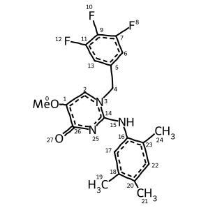 COc1cn(Cc2cc(F)c(F)c(F)c2)c(Nc2cc(C)c(C)cc2C)nc1=O